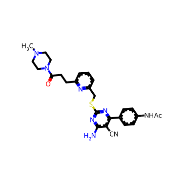 CC(=O)Nc1ccc(-c2nc(SCc3cccc(CCC(=O)N4CCN(C)CC4)n3)nc(N)c2C#N)cc1